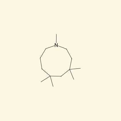 CN1CCCC(C)(C)CC(C)(C)CC1